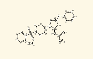 Bc1ccccc1S(=O)(=O)N1CCN([C@@H]2CN(Cc3ccccc3)C[C@H]2OC(C)=O)CC1